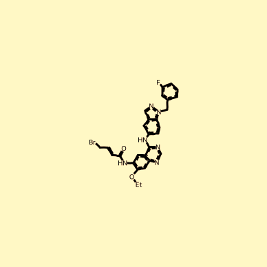 CCOc1cc2ncnc(Nc3ccc4c(cnn4Cc4cccc(F)c4)c3)c2cc1NC(=O)/C=C/CBr